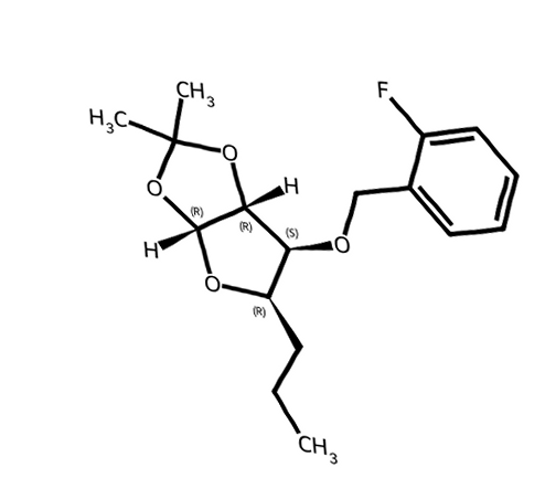 CCC[C@H]1O[C@@H]2OC(C)(C)O[C@@H]2[C@H]1OCc1ccccc1F